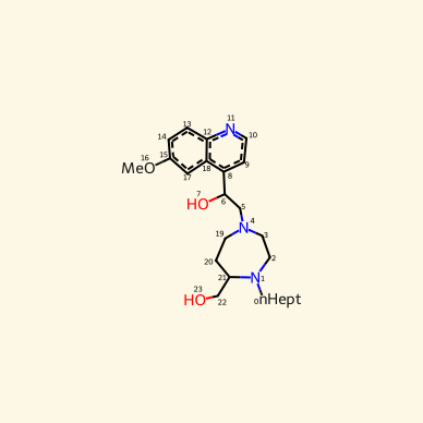 CCCCCCCN1CCN(CC(O)c2ccnc3ccc(OC)cc23)CCC1CO